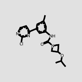 Cc1cc(NC(=O)N2CC(OC(C)C)C2)cc(-c2ccnc(Cl)n2)c1